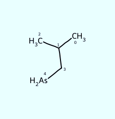 CC(C)C[AsH2]